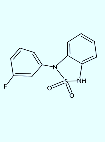 O=S1(=O)Nc2ccccc2N1c1cccc(F)c1